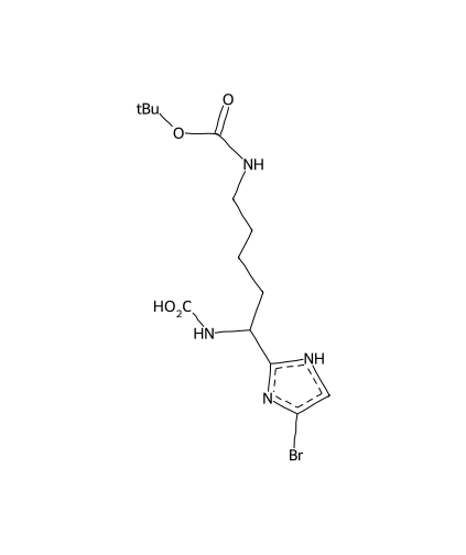 CC(C)(C)OC(=O)NCCCCC(NC(=O)O)c1nc(Br)c[nH]1